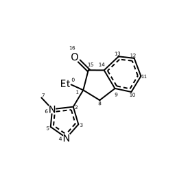 CCC1(c2cncn2C)Cc2ccccc2C1=O